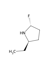 CC[C@@H]1CC[C@@H](F)N1